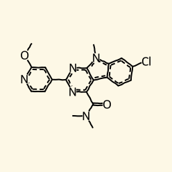 COc1cc(-c2nc(C(=O)N(C)C)c3c4ccc(Cl)cc4n(C)c3n2)ccn1